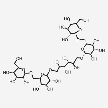 OC[C@H]1O[C@@H](OC[C@H]2O[C@@H](OC[C@@H](O)[C@@H](O)[C@H](O)[C@H](O)COC3O[C@H](CO[C@@H]4O[C@H](CO)[C@@H](O)[C@H](O)[C@H]4O)[C@@H](O)[C@H](O)[C@H]3O)[C@H](O)[C@@H](O)[C@@H]2O)[C@H](O)[C@@H](O)[C@@H]1O